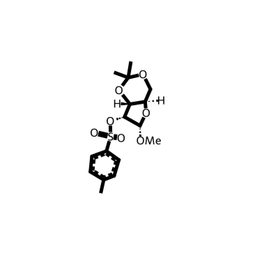 CO[C@H]1O[C@@H]2COC(C)(C)O[C@H]2[C@H]1OS(=O)(=O)c1ccc(C)cc1